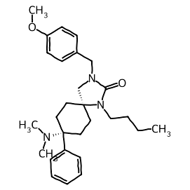 CCCCN1C(=O)N(Cc2ccc(OC)cc2)C[C@]12CC[C@@](c1ccccc1)(N(C)C)CC2